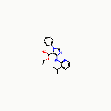 CCOC(O)c1c(Nc2ncccc2C(C)C)ncn1-c1ccccc1